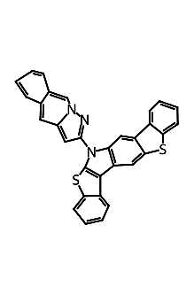 c1ccc2cn3nc(-n4c5cc6c(cc5c5c7ccccc7sc54)sc4ccccc46)cc3cc2c1